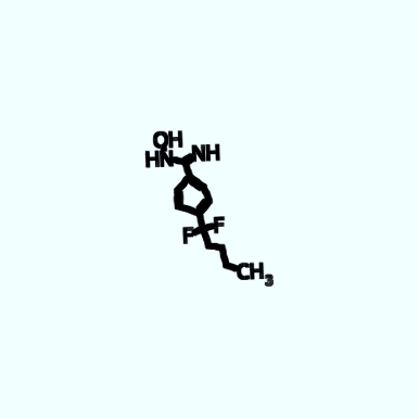 CCCCC(F)(F)c1ccc(C(=N)NO)cc1